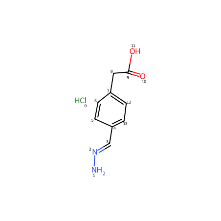 Cl.NN=Cc1ccc(CC(=O)O)cc1